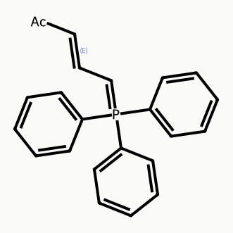 CC(=O)/C=C/C=P(c1ccccc1)(c1ccccc1)c1ccccc1